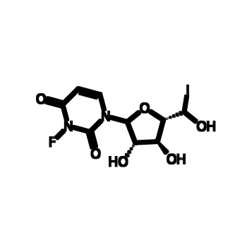 O=c1ccn(C2O[C@H](C(O)I)[C@@H](O)[C@@H]2O)c(=O)n1F